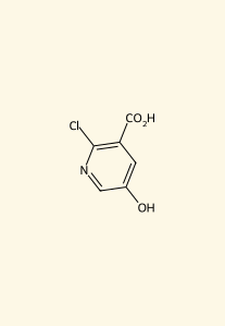 O=C(O)c1cc(O)cnc1Cl